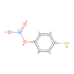 O=[N+]([O-])Oc1ccc(S)cc1